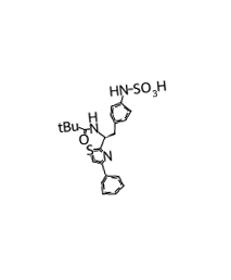 CC(C)(C)C(=O)N[C@@H](Cc1ccc(NS(=O)(=O)O)cc1)c1nc(-c2ccccc2)cs1